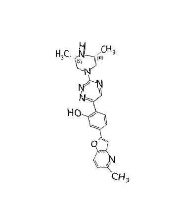 Cc1ccc2oc(-c3ccc(-c4cnc(N5C[C@@H](C)N[C@@H](C)C5)nn4)c(O)c3)cc2n1